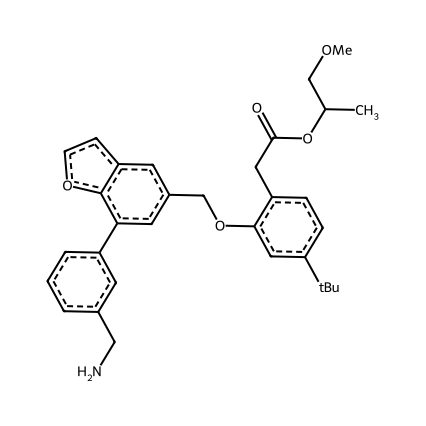 COCC(C)OC(=O)Cc1ccc(C(C)(C)C)cc1OCc1cc(-c2cccc(CN)c2)c2occc2c1